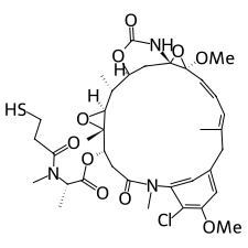 COc1cc2cc(c1Cl)N(C)C(=O)C[C@H](OC(=O)[C@H](C)N(C)C(=O)CCS)[C@]1(C)O[C@H]1[C@H](C)[C@@H]1C[C@]3(NC(=O)O1)O[C@@]3(OC)/C=C/C=C(\C)C2